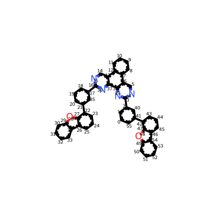 c1cc(-c2ncc3c4ccccc4c4cnc(-c5cccc(-c6cccc7c6oc6ccccc67)c5)nc4c3n2)cc(-c2cccc3c2oc2ccccc23)c1